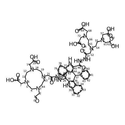 O=CCN1CCN(CC(=O)O)CCN(CC(=O)O)CCN(CC(=O)NNC(=O)c2[nH]c3ccccc3c2C(c2ccccc2)c2c(C(=O)NNC(=O)CN(CCN(CC(=O)O)CC(=O)O)CCN(CC(=O)O)CC(=O)O)[nH]c3ccccc23)CC1